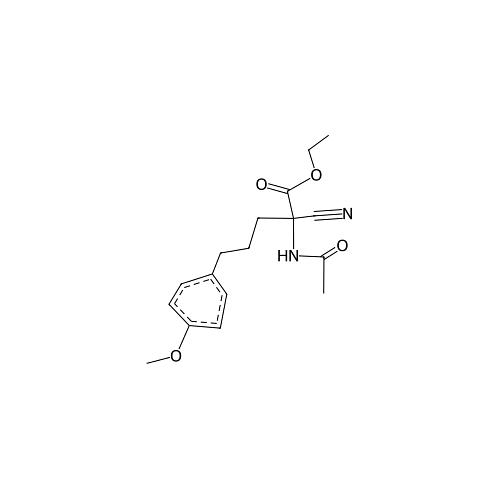 CCOC(=O)C(C#N)(CCCc1ccc(OC)cc1)NC(C)=O